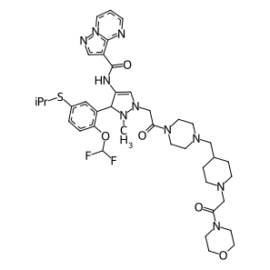 CC(C)Sc1ccc(OC(F)F)c(C2C(NC(=O)c3cnn4cccnc34)=CN(CC(=O)N3CCN(CC4CCN(CC(=O)N5CCOCC5)CC4)CC3)N2C)c1